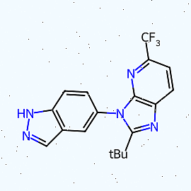 CC(C)(C)c1nc2ccc(C(F)(F)F)nc2n1-c1ccc2[nH]ncc2c1